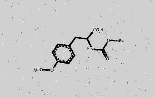 COOc1ccc(CC(NC(=O)OC(C)(C)C)C(=O)O)cc1